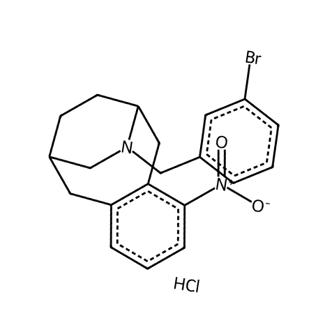 Cl.O=[N+]([O-])c1cccc2c1CC1CCC(C2)CN1Cc1cccc(Br)c1